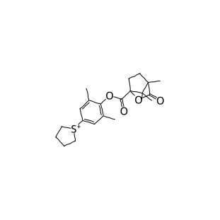 Cc1cc([S+]2CCCC2)cc(C)c1OC(=O)C12CCC(C)(C(=O)O1)C2(C)C